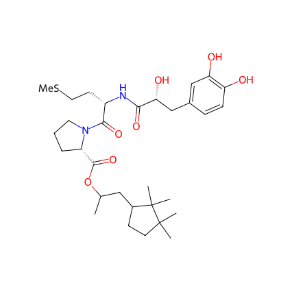 CSCC[C@H](NC(=O)[C@H](O)Cc1ccc(O)c(O)c1)C(=O)N1CCC[C@H]1C(=O)OC(C)CC1CCC(C)(C)C1(C)C